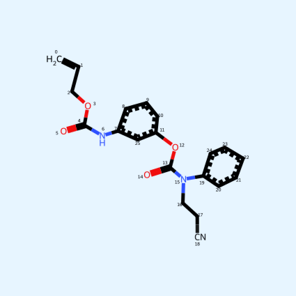 C=CCOC(=O)Nc1cccc(OC(=O)N(CCC#N)c2ccccc2)c1